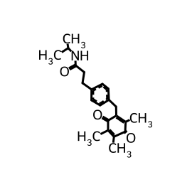 CC1=C(C)C(=O)C(Cc2ccc(CCC(=O)NC(C)C)cc2)=C(C)C1=O